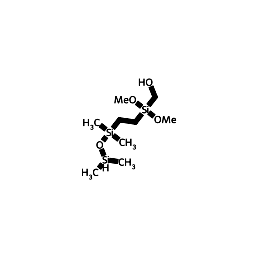 CO[Si](CO)(CC[Si](C)(C)O[SiH](C)C)OC